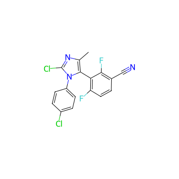 Cc1nc(Cl)n(-c2ccc(Cl)cc2)c1-c1c(F)ccc(C#N)c1F